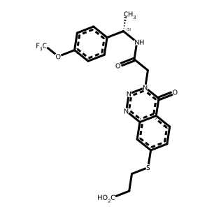 C[C@H](NC(=O)Cn1nnc2cc(SCCC(=O)O)ccc2c1=O)c1ccc(OC(F)(F)F)cc1